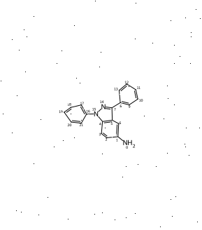 Nc1ccc2c(c1)c(-c1ccccc1)nn2-c1ccccc1